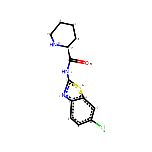 O=C(Nc1nc2ccc(Cl)cc2s1)[C@@H]1CCCCN1